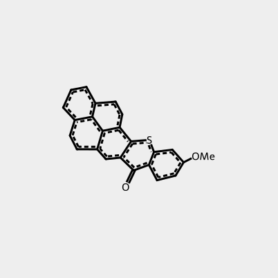 COc1ccc2c(=O)c3cc4ccc5cccc6ccc(c3sc2c1)c4c56